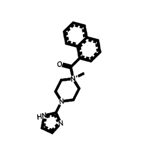 C[N+]1(C(=O)c2cccc3ccccc23)CCN(c2ncc[nH]2)CC1